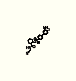 N#CCNC(=O)C1CCCCC1CS(=O)(=O)c1ccc(-c2cccc(N)c2)cc1